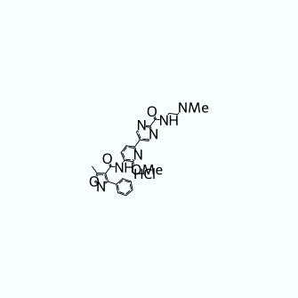 CNCCNC(=O)c1ncc(-c2ccc(NC(=O)c3c(-c4ccccc4)noc3C)c(OC)n2)cn1.Cl